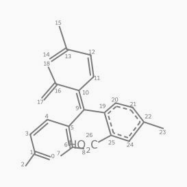 C=C(C)/C=C\C(=C(C)C)/C(=C(/C=C\C(=C)C)C(=C)C)c1ccc(C)cc1C(=O)O